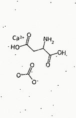 NC(CC(=O)O)C(=O)O.O=C([O-])[O-].[Ca+2]